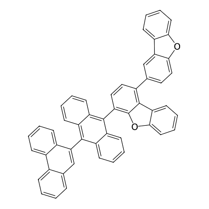 c1ccc2c(c1)cc(-c1c3ccccc3c(-c3ccc(-c4ccc5oc6ccccc6c5c4)c4c3oc3ccccc34)c3ccccc13)c1ccccc12